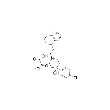 O=C(O)C(=O)O.OC1(c2ccc(Cl)cc2)CCN(CCC2CCCc3sccc32)CC1